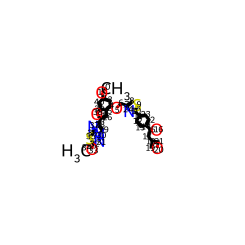 COc1cc(OCc2csc(-c3ccc(C(=O)CC4COC4)cc3)n2)c2cc(-c3cn4nc(OC)sc4n3)oc2c1